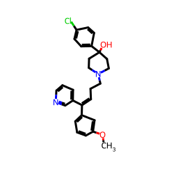 COc1cccc(C(=CCCN2CCC(O)(c3ccc(Cl)cc3)CC2)c2cccnc2)c1